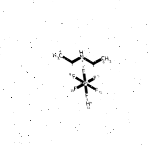 CCNCC.F[P-](F)(F)(F)(F)F.[H+]